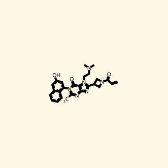 C=CC(=O)N1CC(c2nc3nc(C(F)(F)F)n(-c4cc(O)cc5ccccc45)c(=O)c3n2CCN(C)C)C1